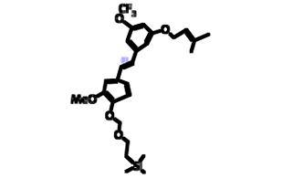 COc1cc(/C=C/c2cc(OCC=C(C)C)cc(OC(F)(F)F)c2)ccc1OCOCC[Si](C)(C)C